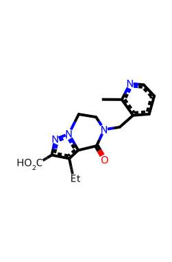 CCc1c(C(=O)O)nn2c1C(=O)N(Cc1cccnc1C)CC2